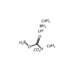 B.BOC(=O)C(=O)O.[CaH2].[CaH2].[LiH]